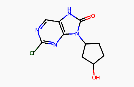 O=c1[nH]c2cnc(Cl)nc2n1C1CCC(O)C1